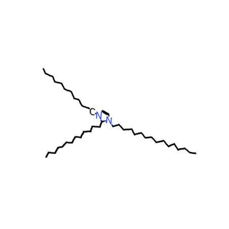 CCCCCCCCCCCCCCCCN1C=CN(CCCCCCCCCCCC)C1CCCCCCCCCCCCC